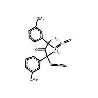 COc1cccc(C(C)(N=[N+]=[N-])C(=O)C(C)(N=[N+]=[N-])c2cccc(OC)c2)c1